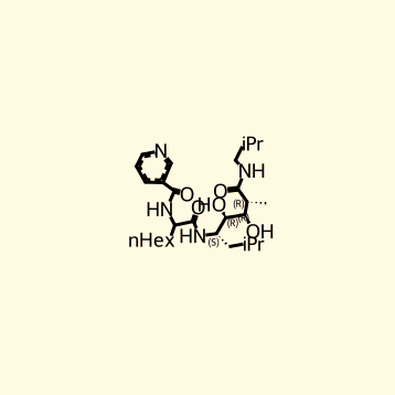 CCCCCCC(NC(=O)c1cccnc1)C(=O)N[C@@H](CC(C)C)[C@@H](O)[C@H](O)[C@@H](C)C(=O)NCC(C)C